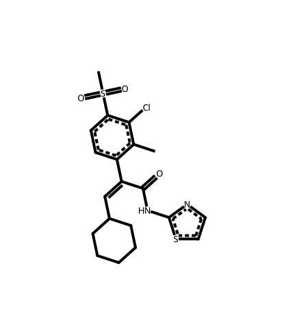 Cc1c(C(=CC2CCCCC2)C(=O)Nc2nccs2)ccc(S(C)(=O)=O)c1Cl